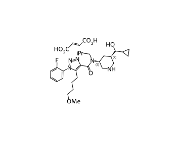 COCCCCc1c(C(=O)N(CC(C)C)[C@@H]2CNC[C@H](C(O)C3CC3)C2)nnn1-c1ccccc1F.O=C(O)C=CC(=O)O